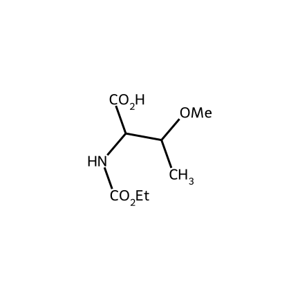 CCOC(=O)NC(C(=O)O)C(C)OC